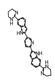 c1cc2cc(-c3ccc(-c4cc5ccc(C6=NCCCN6)cc5[nH]4)nc3)[nH]c2cc1C1=NCCCN1